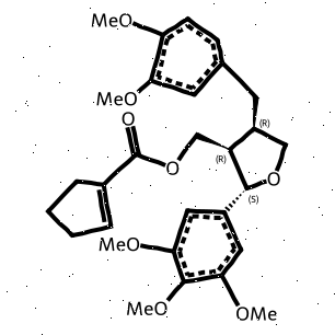 COc1ccc(C[C@H]2CO[C@H](c3cc(OC)c(OC)c(OC)c3)[C@H]2COC(=O)C2=CCCC2)cc1OC